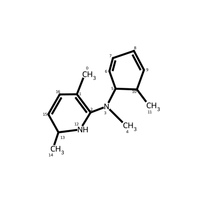 CC1=C(N(C)C2C=CC=CC2C)NC(C)C=C1